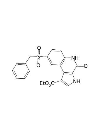 CCOC(=O)c1c[nH]c2c(=O)[nH]c3ccc(S(=O)(=O)Cc4ccccc4)cc3c12